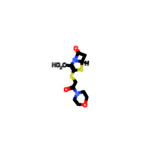 O=C(O)C1=C(SCC(=O)N2CCOCC2)S[C@@H]2CC(=O)N12